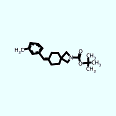 Cc1cccc(C=C2CCC3(CC2)CN(C(=O)OC(C)(C)C)C3)c1